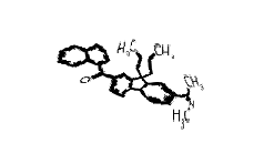 CCCC1(CCC)c2cc(C(=O)c3cccc4ccccc34)ccc2-c2ccc(/C(C)=N\C)cc21